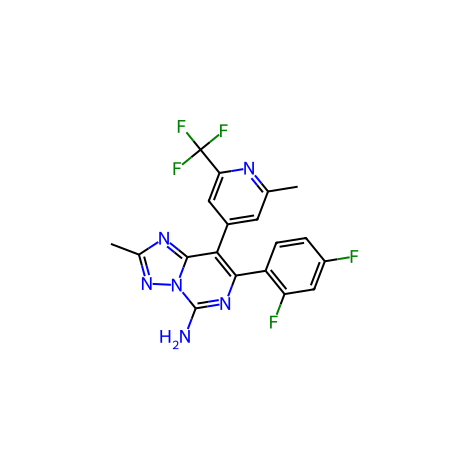 Cc1cc(-c2c(-c3ccc(F)cc3F)nc(N)n3nc(C)nc23)cc(C(F)(F)F)n1